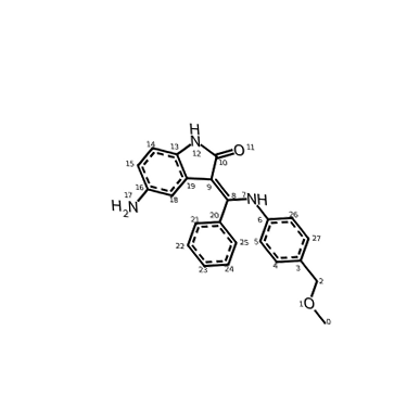 COCc1ccc(N/C(=C2\C(=O)Nc3ccc(N)cc32)c2ccccc2)cc1